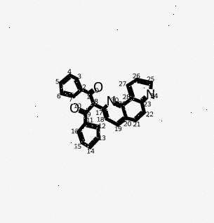 O=C(c1ccccc1)C(C(=O)c1ccccc1)c1ccc2ccc3ncccc3c2n1